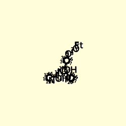 CCOCCOc1ccc(CCN(CC(O)c2ccccn2)CC(O)c2ccccn2)cc1